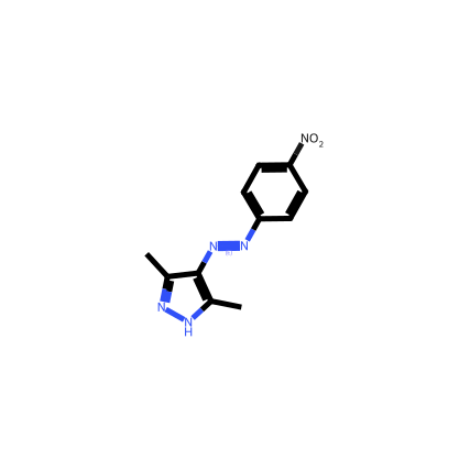 Cc1n[nH]c(C)c1/N=N/c1ccc([N+](=O)[O-])cc1